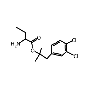 CCC(N)C(=O)OC(C)(C)Cc1ccc(Cl)c(Cl)c1